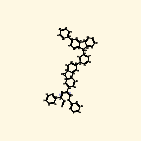 C=N/C(=N\C(=N/Cc1ccccc1)c1ccc2c(c1)oc1ccc(-c3cccc(-n4c5ccccc5c5cc(-c6ccccc6)ccc54)c3)cc12)c1ccccc1